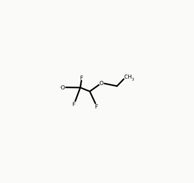 CCOC(F)C([O])(F)F